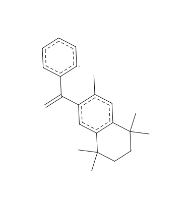 C=C(c1[c]cccc1)c1cc2c(cc1C)C(C)(C)CCC2(C)C